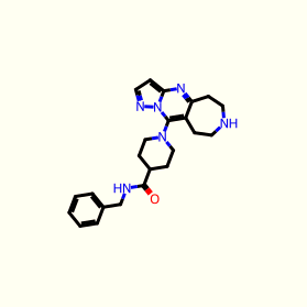 O=C(NCc1ccccc1)C1CCN(c2c3c(nc4ccnn24)CCNCC3)CC1